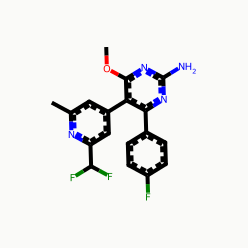 COc1nc(N)nc(-c2ccc(F)cc2)c1-c1cc(C)nc(C(F)F)c1